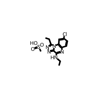 CCNc1nc2ccc(Cl)cc2n2c(CC)nnc12.CS(=O)(=O)O